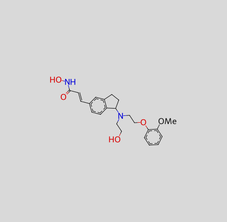 COc1ccccc1OCCN(CCO)C1CCc2cc(C=CC(=O)NO)ccc21